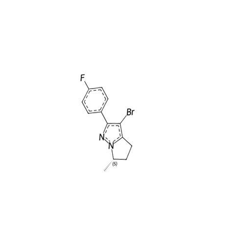 C[C@H]1CCc2c(Br)c(-c3ccc(F)cc3)nn21